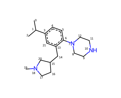 CC(C)c1ccc(N2CCNCC2)c(CC2CCN(C)C2)c1